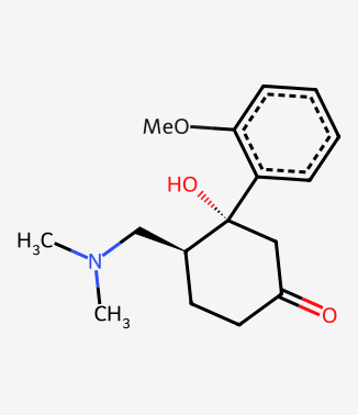 COc1ccccc1[C@@]1(O)CC(=O)CC[C@H]1CN(C)C